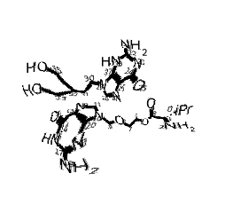 CC(C)[C@H](N)C(=O)OCCOCn1cnc2c(=O)[nH]c(N)nc21.Nc1nc(=O)c2ncn(CCC(CO)CO)c2[nH]1